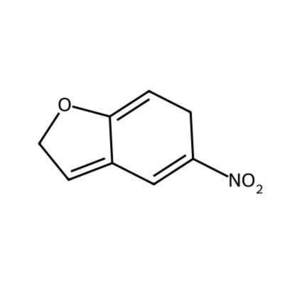 O=[N+]([O-])C1=CC2=CCOC2=CC1